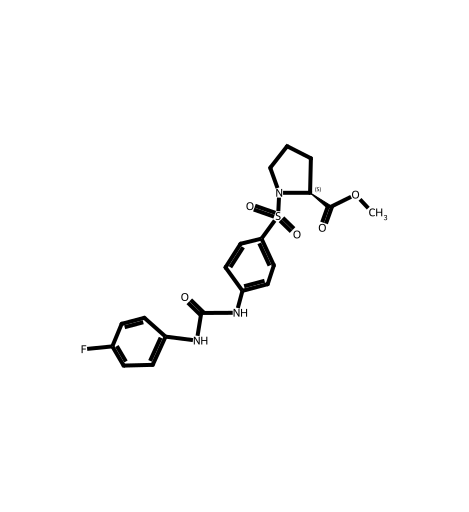 COC(=O)[C@@H]1CCCN1S(=O)(=O)c1ccc(NC(=O)Nc2ccc(F)cc2)cc1